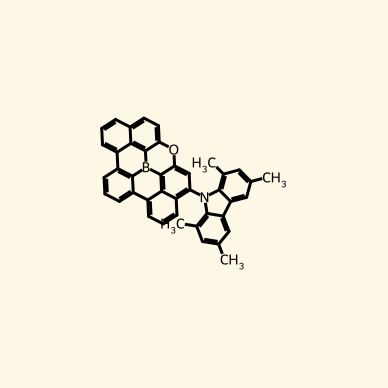 Cc1cc(C)c2c(c1)c1cc(C)cc(C)c1n2-c1cc2c3c4c(cccc14)-c1cccc4c1B3c1c(ccc3cccc-4c13)O2